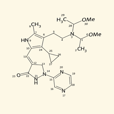 COC(C)N(CCc1c(C)[nH]c(C=C2CN(c3cnccn3)NC2=O)c1C1CC1)C(C)OC